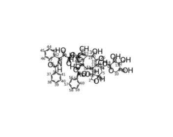 CC(=O)O[C@@]12CO[C@@H]1C[C@H](O[C@@H]1OC[C@@H](O)[C@H](O)[C@H]1O)[C@@]1(C)C(=O)[C@H](O)C3=C(C)[C@@H](OC(=O)[C@H](O)[C@@H](NC(=O)c4ccccc4)c4ccccc4)C[C@@](O)([C@@H](OC(=O)c4ccccc4)[C@H]21)C3(C)C